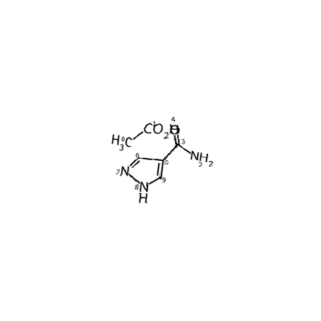 CC(=O)O.NC(=O)c1cn[nH]c1